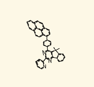 CC1(C)c2ccccc2-c2nc(-c3ccccn3)nc(-c3ccc(-c4ccc5ccc6cccc7ccc4c5c67)cc3)c21